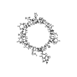 CCC[C@H]1C(=O)NC2(CCCC2)C(=O)N(C)[C@@H](C2CCCCC2)C(=O)N(C)[C@H](C(=O)N2CCCCC2)CC(=O)N(C)[C@@H](CC(C)C)C(=O)N[C@@H]([C@@H](C)CC)C(=O)N(C)CC(=O)N2CCC[C@H]2C(=O)N(C)[C@@H](CC2CCCCC2)C(=O)N(C)CC(=O)N[C@@H](CCc2ccc(C(F)(F)F)c(Cl)c2)C(=O)N1C